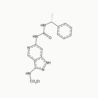 CCOC(=O)Nc1n[nH]c2cc(NC(=O)N[C@H](C)c3ccccc3)ncc12